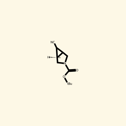 CC(C)(C)OC(=O)N1CC2C(C#N)[C@@H]2C1